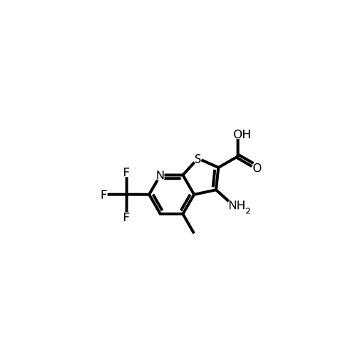 Cc1cc(C(F)(F)F)nc2sc(C(=O)O)c(N)c12